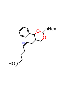 CCCCCCC1OCC(C/C=C\CCCC(=O)O)C(c2ccccc2)O1